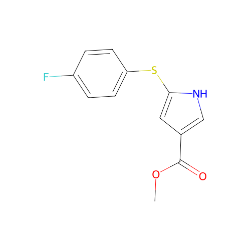 COC(=O)c1c[nH]c(Sc2ccc(F)cc2)c1